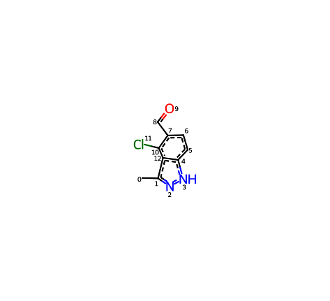 Cc1n[nH]c2ccc(C=O)c(Cl)c12